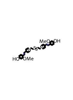 COc1cc(O)ccc1/C=C/C1=CCN(CCSSCC[n+]2ccc(/C=C/c3ccc(O)cc3OC)cc2)C=C1